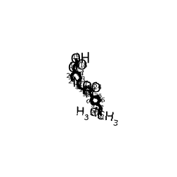 CN(C)Cc1ccc(N2CC(CN3CCC(OC(=O)O)CC3)OC2=O)cc1